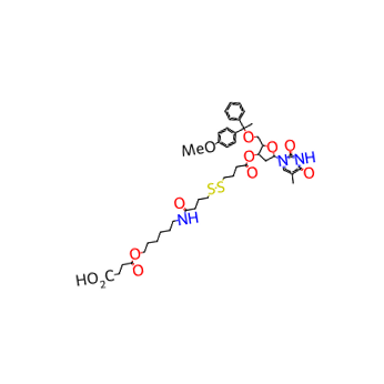 COc1ccc(C(C)(OCC2OC(n3cc(C)c(=O)[nH]c3=O)CC2OC(=O)CCCSSCCCC(=O)NCCCCCCOC(=O)CCC(=O)O)c2ccccc2)cc1